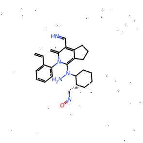 C=Cc1ccccc1N1C(=C)C(C=N)=C2CCCC2=C1N(N)C1CCCC[C@@H]1CN=O